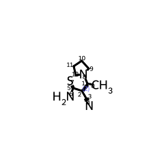 C/C(=C(\C#N)C(N)=S)N1CCCC1